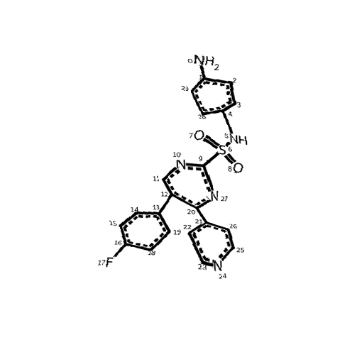 Nc1ccc(NS(=O)(=O)c2ncc(-c3ccc(F)cc3)c(-c3ccncc3)n2)cc1